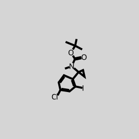 CN(C(=O)OC(C)(C)C)C1(c2ccc(Cl)cc2I)CC1